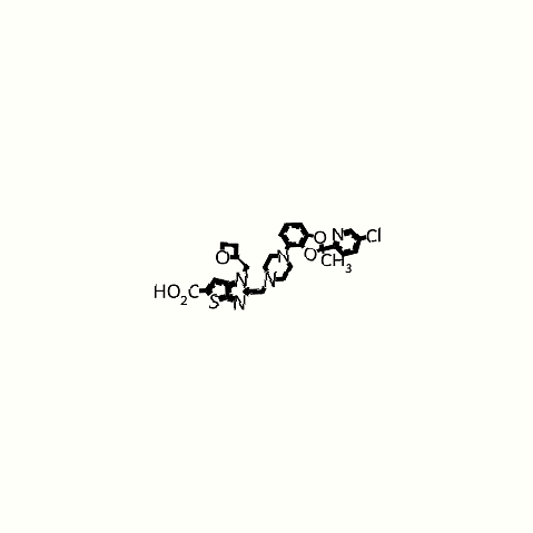 C[C@]1(c2ccc(Cl)cn2)Oc2cccc(N3CCN(Cc4nc5sc(C(=O)O)cc5n4C[C@@H]4CCO4)CC3)c2O1